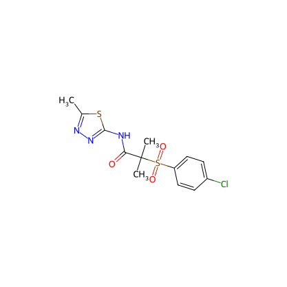 Cc1nnc(NC(=O)C(C)(C)S(=O)(=O)c2ccc(Cl)cc2)s1